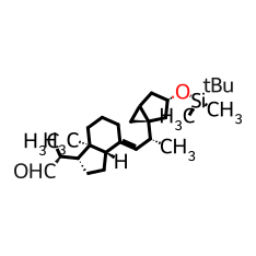 C[C@H](C=O)[C@H]1CC[C@H]2/C(=C/[C@@H](C)[C@]34CC3C[C@H](O[Si](C)(C)C(C)(C)C)C4)CCC[C@]12C